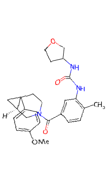 COc1ccc(C23CCN(C(=O)c4ccc(C)c(NC(=O)NC5CCOC5)c4)C[C@H]2C3)cc1